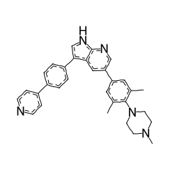 Cc1cc(-c2cnc3[nH]cc(-c4ccc(-c5ccncc5)cc4)c3c2)cc(C)c1N1CCN(C)CC1